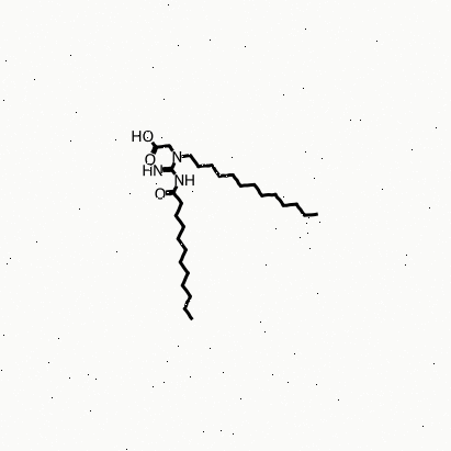 CCCCCCCCCCCCCN(CC(=O)O)C(=N)NC(=O)CCCCCCCCCCC